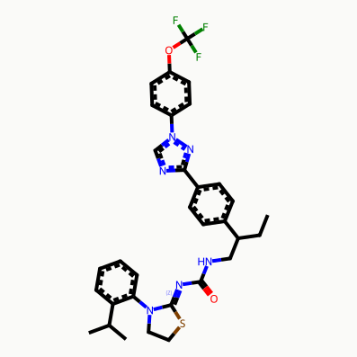 CCC(CNC(=O)/N=C1\SCCN1c1ccccc1C(C)C)c1ccc(-c2ncn(-c3ccc(OC(F)(F)F)cc3)n2)cc1